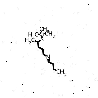 CCC/C=N/CCCC(C)S[Si](C)(C)C